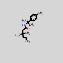 CCCC(C)(C)CC(=O)NC(C)(C)c1ccc(C)cc1